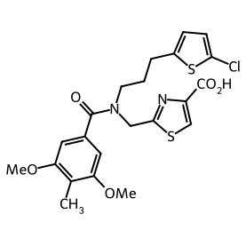 COc1cc(C(=O)N(CCCc2ccc(Cl)s2)Cc2nc(C(=O)O)cs2)cc(OC)c1C